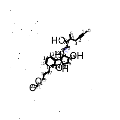 CC#CCC(C)[C@H](O)/C=C/[C@@H]1[C@H]2c3cccc(CCCOC=O)c3O[C@H]2C[C@H]1O